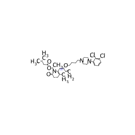 C=C/C(=C\C1=C(C)CCC(=O)N1C(C)OC(=O)CC(C)C)OCCCCN1CCN(c2cccc(Cl)c2Cl)CC1